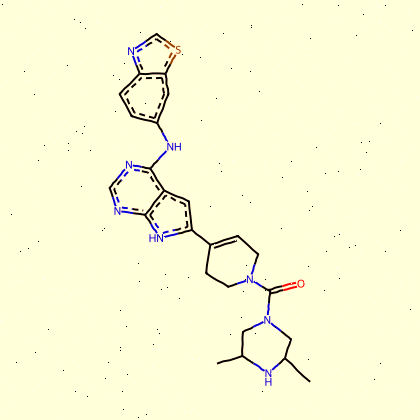 CC1CN(C(=O)N2CC=C(c3cc4c(Nc5ccc6ncsc6c5)ncnc4[nH]3)CC2)CC(C)N1